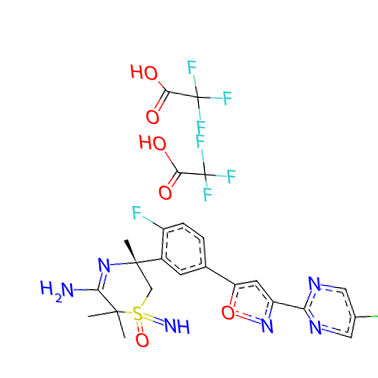 CC1(C)C(N)=N[C@](C)(c2cc(-c3cc(-c4ncc(Cl)cn4)no3)ccc2F)CS1(=N)=O.O=C(O)C(F)(F)F.O=C(O)C(F)(F)F